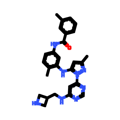 Cc1cccc(C(=O)Nc2ccc(C)c(Nc3cc(C)nn3-c3cc(NCC4CNC4)ncn3)c2)c1